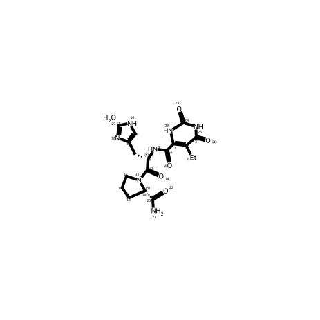 CCc1c(C(=O)N[C@@H](Cc2c[nH]cn2)C(=O)N2CCC[C@H]2C(N)=O)[nH]c(=O)[nH]c1=O.O